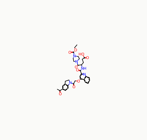 CCOC(=O)N1CCN(C(=O)C(CCC(=O)O)NC(=O)c2cc(OCC(=O)N3CCc4cc(C(C)=O)ccc43)c3ccccc3n2)CC1